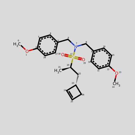 COc1ccc(CN(Cc2ccc(OC)cc2)S(=O)(=O)[C@H](C)C[C@H]2C=[C]C2)cc1